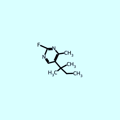 CCC(C)(C)c1cnc(F)nc1C